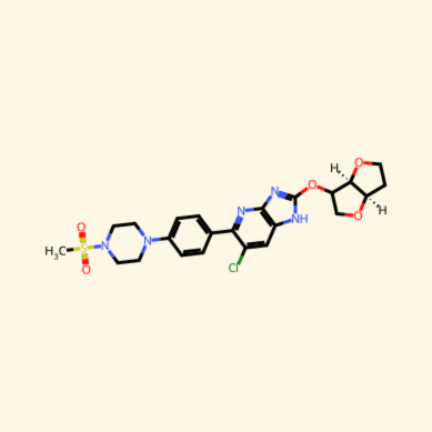 CS(=O)(=O)N1CCN(c2ccc(-c3nc4nc(OC5CO[C@@H]6CCO[C@H]56)[nH]c4cc3Cl)cc2)CC1